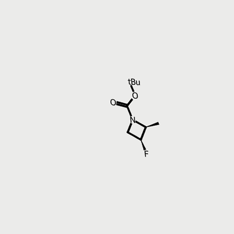 C[C@H]1[C@@H](F)CN1C(=O)OC(C)(C)C